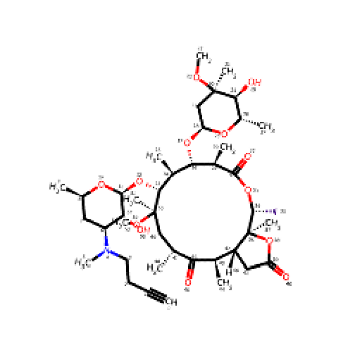 C#CCCN(C)[C@H]1C[C@@H](C)O[C@@H](O[C@@H]2[C@@H](C)[C@H](O[C@H]3C[C@@](C)(OC)[C@@H](O)[C@H](C)O3)[C@@H](C)C(=O)O[C@H](I)[C@@]3(C)OC(=O)C[C@@H]3[C@@H](C)C(=O)[C@H](C)C[C@@]2(C)OC)[C@@H]1O